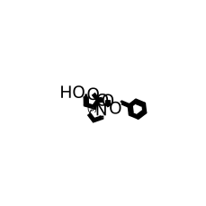 O=C(OCc1ccccc1)N1CCC[C@@]12C=C(O)OC2=O